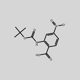 CC(C)(C)OC(=O)Nc1cc([N+](=O)[O-])ccc1C(=O)O